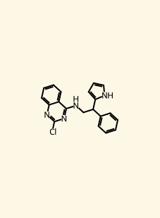 Clc1nc(NCC(c2ccccc2)c2ccc[nH]2)c2ccccc2n1